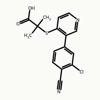 CC(C)(Sc1ccncc1-c1ccc(C#N)c(Cl)c1)C(=O)O